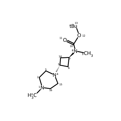 CN1CCN([C@H]2C[C@H](N(C)C(=O)OC(C)(C)C)C2)CC1